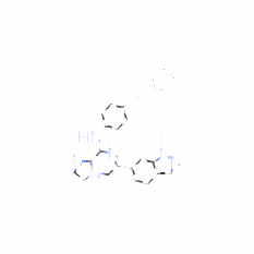 c1cn2cc(-c3ccc4cn[nH]c4c3)nc(Nc3ccc(OP[C@@H]4CCCO4)cc3)c2n1